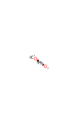 [C].[O]=[Pb]=[O]